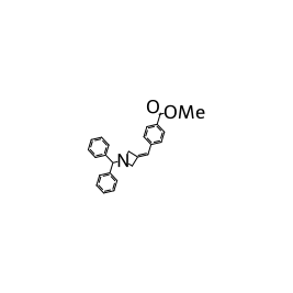 COC(=O)c1ccc(C=C2CN(C(c3ccccc3)c3ccccc3)C2)cc1